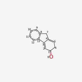 O=C1C=C2C(=CC1)Cc1ccccc12